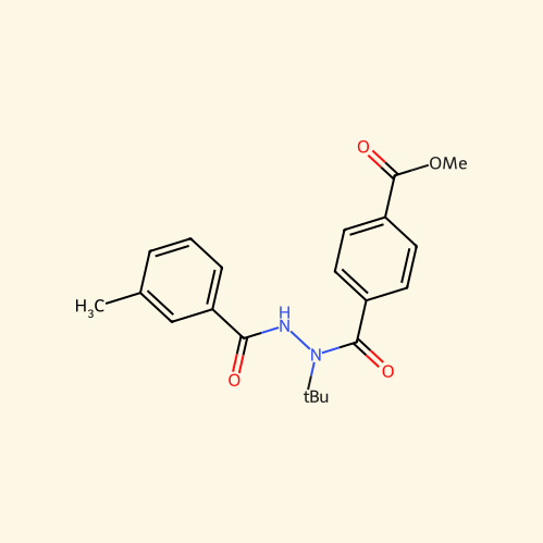 COC(=O)c1ccc(C(=O)N(NC(=O)c2cccc(C)c2)C(C)(C)C)cc1